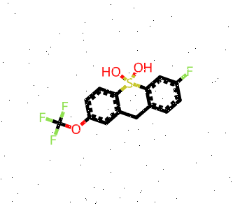 OS1(O)c2ccc(OC(F)(F)F)cc2Cc2ccc(F)cc21